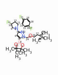 CC1(C)OB(c2cc(N3C[C@@H](F)C[C@@H]3c3cc(F)ccc3F)nn2COCC[Si](C)(C)C)OC1(C)C